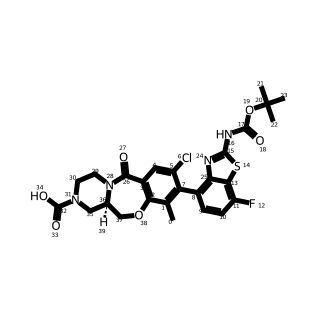 Cc1c2c(cc(Cl)c1-c1ccc(F)c3sc(NC(=O)OC(C)(C)C)nc13)C(=O)N1CCN(C(=O)O)C[C@@H]1CO2